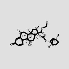 C[C@@H]1C[C@H]2[C@@H]3C[C@H](F)C4=CC(=O)C=C[C@]4(C)[C@@]3(F)[C@@H](O)C[C@]2(C)[C@@]1(OC(=O)O[C@@H]1C[C@H]2CC[C@@H]1C2)C(=O)OCF